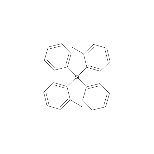 Cc1ccccc1[Si](C1=CC=CCC1)(c1ccccc1)c1ccccc1C